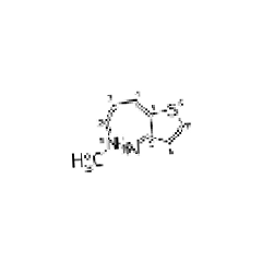 C[N+]1=C=CC=c2sccc2=N1